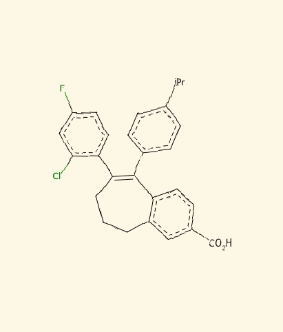 CC(C)c1ccc(C2=C(c3ccc(F)cc3Cl)CCCc3cc(C(=O)O)ccc32)cc1